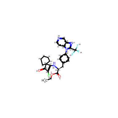 CCOC(=O)[C@H](Cc1ccc(-n2c(C(F)(F)F)nc3cnccc32)cc1)NC1=C(Cl)C(=O)C12CCCCC2